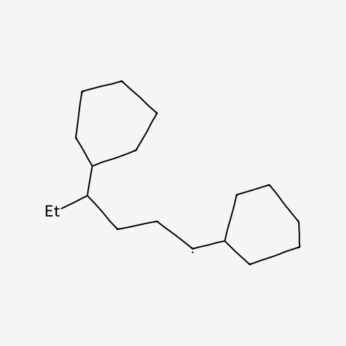 CCC(CC[CH]C1CCCCC1)C1CCCCC1